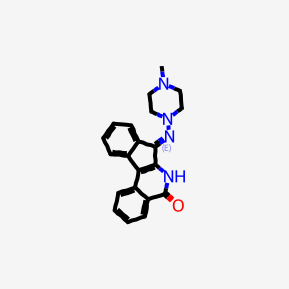 CN1CCN(/N=C2\c3ccccc3-c3c2[nH]c(=O)c2ccccc32)CC1